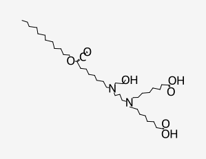 CCCCCCCCCCCCOC(=C=O)CCCCCCCN(CCO)CCCN(CCCCCCCC(=O)O)CCCCCCCC(=O)O